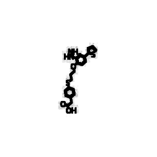 NNc1cc(-c2cccs2)ccc1OCCCSc1ccc(CC(=O)O)cc1